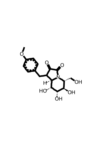 COc1ccc(CC2C(=O)C(=O)N3[C@H](CO)[C@@H](O)[C@H](O)[C@H](O)[C@@H]23)cc1